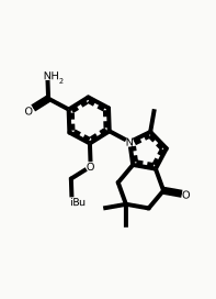 CCC(C)COc1cc(C(N)=O)ccc1-n1c(C)cc2c1CC(C)(C)CC2=O